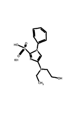 CCN(CCO)c1cn(-c2ccccc2)c(S(=O)(=O)O)n1.[KH]